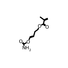 C=C(C)C(=O)OCCC=COC(N)=O